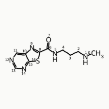 CNCCCNC(=O)c1nc2cncnc2s1